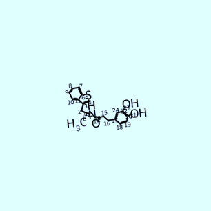 C[C@H](Cc1csc2ccccc12)NC(=O)CCc1ccc(O)c(O)c1